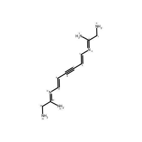 NC/C(N)=N/C=C/C#C/C=C/N=C(\N)CN